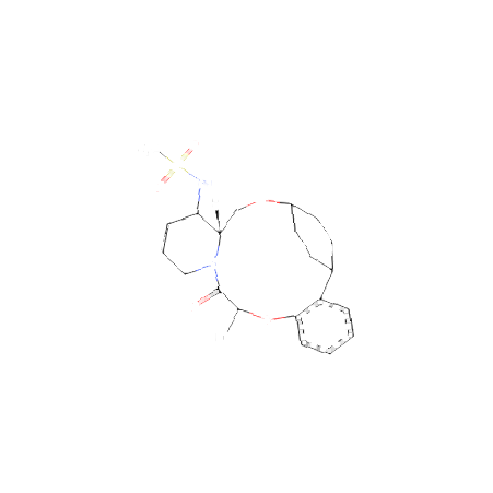 CCC1Oc2ccccc2C2CCC(CC2)OC[C@H]2C(NS(C)(=O)=O)CCCN2C1=O